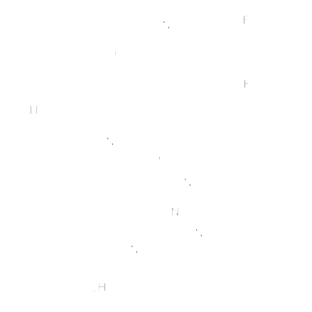 Cc1ccc(C(=O)N2C[C@H]3CC(Oc4ccc(C(F)(F)F)cn4)C2C3)c(-n2nccn2)n1